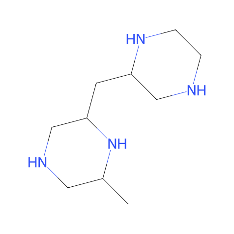 CC1CNCC(CC2CNCCN2)N1